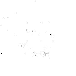 Cc1cncc2[nH]nc(C)c12